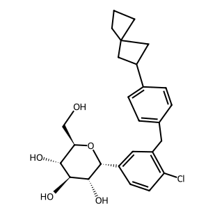 OC[C@H]1O[C@H](c2ccc(Cl)c(Cc3ccc(C4CC5(CCC5)C4)cc3)c2)[C@H](O)[C@@H](O)[C@@H]1O